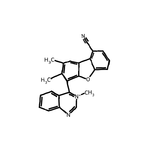 Cc1cc2c(oc3cccc(C#N)c32)c(-c2c3ccccc3nc[n+]2C)c1C